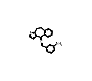 Nc1cccc(C=C=C2c3ccccc3CCc3sccc32)c1